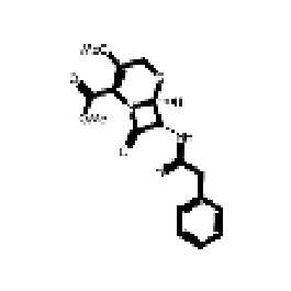 COC(=O)C1=C(OC)CS[C@H]2[C@H](NC(=O)Cc3ccccc3)C(=O)N12